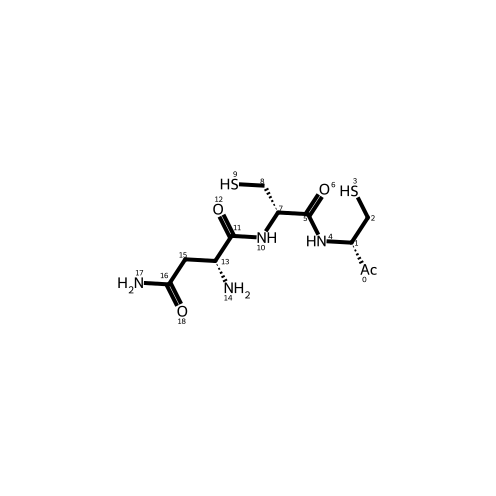 CC(=O)[C@@H](CS)NC(=O)[C@@H](CS)NC(=O)[C@H](N)CC(N)=O